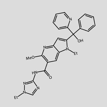 CCn1cnc(NC(=O)c2cc3c(cc(C(O)(c4ccccc4)c4ccccn4)n3CC)nc2OC)n1